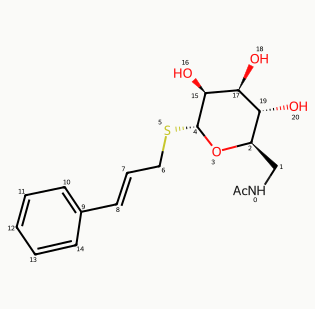 CC(=O)NC[C@H]1O[C@H](SCC=Cc2ccccc2)[C@@H](O)[C@@H](O)[C@@H]1O